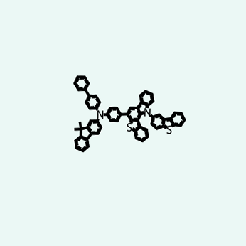 CC1(C)c2ccccc2-c2ccc(N(c3ccc(-c4ccccc4)cc3)c3ccc(-c4cc5c6ccccc6n(-c6ccc7sc8ccccc8c7c6)c5c5c4sc4ccccc45)cc3)cc21